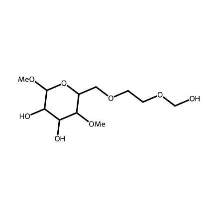 COC1OC(COCCOCO)C(OC)C(O)C1O